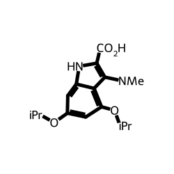 CNc1c(C(=O)O)[nH]c2cc(OC(C)C)cc(OC(C)C)c12